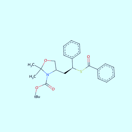 CC(C)(C)OC(=O)N1C(C[C@H](SC(=O)c2ccccc2)c2ccccc2)COC1(C)C